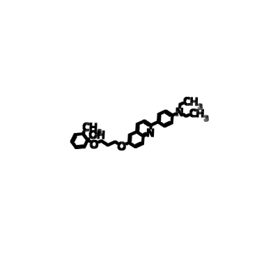 CCN(CC)c1ccc(-c2ccc3cc(OCCCOC4(O)C=CC=CC4C)ccc3n2)cc1